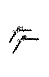 CCCCCCCCCC(=O)OCC(CO)OC(=O)CCCCCCCCC.CCCCCCCCCCCC(=O)OCC(CO)OC(=O)CCCCCCCCCCC